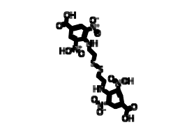 O=C(O)c1cc([N+](=O)[O-])c(NCCSSCCNc2c([N+](=O)[O-])cc(C(=O)O)cc2[N+](=O)O)c([N+](=O)O)c1